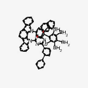 Bc1c(B)c(B)c(-c2ccc(-n3c4ccccc4c4ccc5c6ccccc6n(-c6nc(-c7ccccc7)nc(-c7cccc(-c8ccccc8)c7)n6)c5c43)cc2-c2ccccc2)c(B)c1B